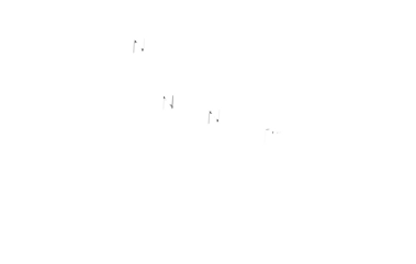 Cc1ccc(N2CCN(C)CC2)nc1C(C)C